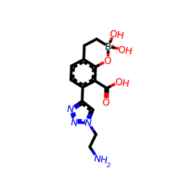 NCCn1cc(-c2ccc3c(c2C(=O)O)O[B-](O)(O)CC3)nn1